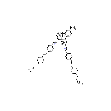 C=CCC1CCC(COc2ccc(/C=C/C(=O)CC(c3ccc(N)cc3N)C(O)(O)C(=O)/C=C/c3ccc(OCC4CCC(CC=C)CC4)cc3)cc2)CC1